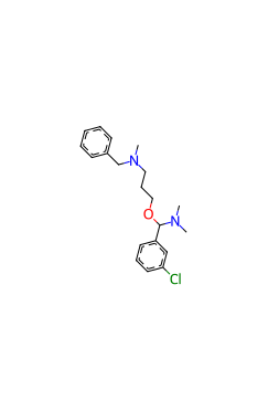 CN(CCCOC(c1cccc(Cl)c1)N(C)C)Cc1ccccc1